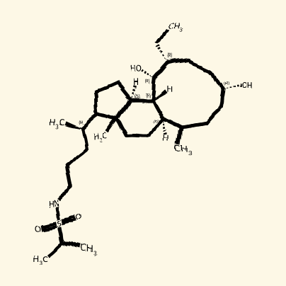 CC[C@@H]1CC[C@H](O)CCC(C)[C@H]2CCC3(C)C([C@H](C)CCCNS(=O)(=O)C(C)C)CC[C@H]3[C@@H]2[C@@H]1O